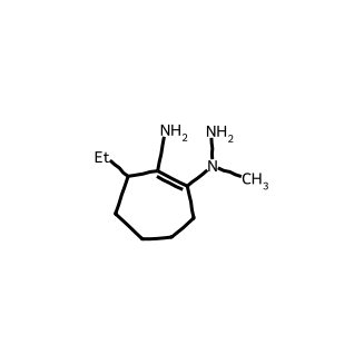 CCC1CCCCC(N(C)N)=C1N